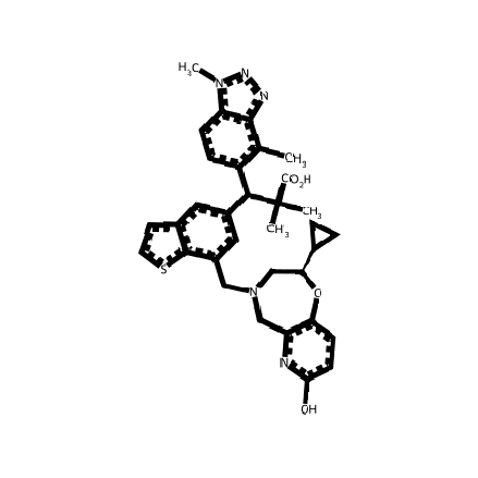 Cc1c(C(c2cc(CN3Cc4nc(O)ccc4O[C@H](C4CC4)C3)c3sccc3c2)C(C)(C)C(=O)O)ccc2c1nnn2C